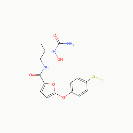 CC(CNC(=O)c1ccc(Oc2ccc(SF)cc2)o1)N(O)C(N)=O